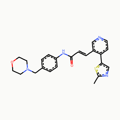 Cc1ncc(-c2ccncc2/C=C/C(=O)Nc2ccc(CN3CCOCC3)cc2)s1